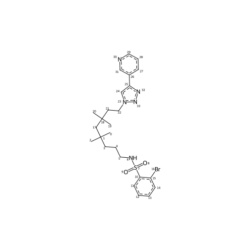 CC(C)(CCCNS(=O)(=O)c1ccccc1Br)CC(C)(C)CCn1cc(-c2cccnc2)nn1